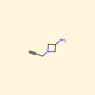 C#CCN1CC(N)C1